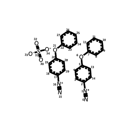 N#[N+]c1ccc(Oc2ccccc2)cc1.N#[N+]c1ccc(Oc2ccccc2)cc1.O=S(=O)([O-])[O-]